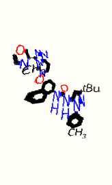 Cc1ccc(-n2nc(C(C)(C)C)cc2NC(=O)N[C@H]2CC[C@@H](ON3C=Cc4nnc([C@H]5COCCN5C)n4C3)c3ccccc32)cc1